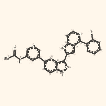 CC(C)(C)C(=O)Nc1cncc(-c2ccc3[nH]nc(-c4cc5c(-c6ccccc6F)nccc5[nH]4)c3n2)c1